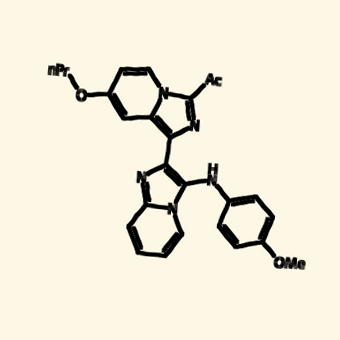 CCCOc1ccn2c(C(C)=O)nc(-c3nc4ccccn4c3Nc3ccc(OC)cc3)c2c1